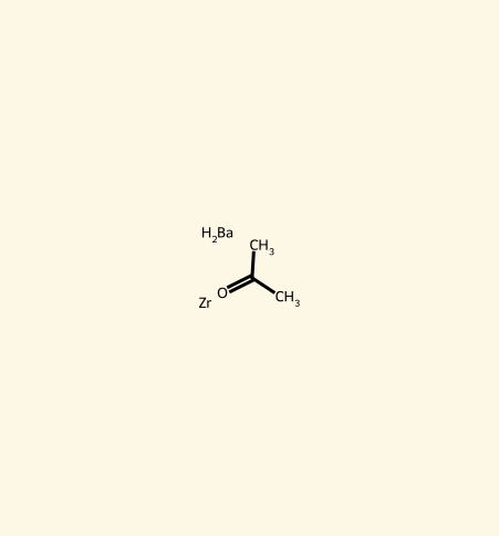 CC(C)=O.[BaH2].[Zr]